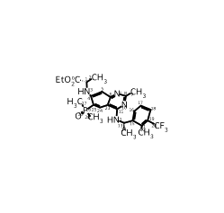 CCOC(=O)[C@H](C)Nc1cc2nc(C)nc(N[C@H](C)c3cccc(C(F)(F)F)c3C)c2cc1P(C)(C)=O